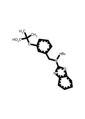 CCCCN(Cc1cccc(OC(C)(C)C(=O)O)c1)c1nc2ccccc2o1